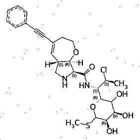 CSC1O[C@H]([C@H](NC(=O)[C@H]2NC[C@@H]3C=C(C#Cc4ccccc4)CCO[C@@H]23)[C@H](C)Cl)C(O)[C@@H](O)[C@H]1O